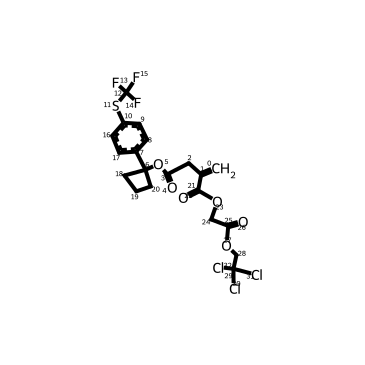 C=C(CC(=O)OC1(c2ccc(SC(F)(F)F)cc2)CCC1)C(=O)OCC(=O)OCC(Cl)(Cl)Cl